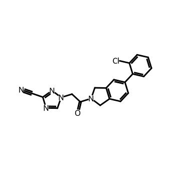 N#Cc1ncn(CC(=O)N2Cc3ccc(-c4ccccc4Cl)cc3C2)n1